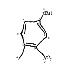 [CH2]c1ccc(C(C)(C)C)cc1[N+](=O)[O-]